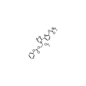 C[C@H](COC(=O)Oc1ccccc1)n1cnnc1-c1cccc(OC(N)=O)n1